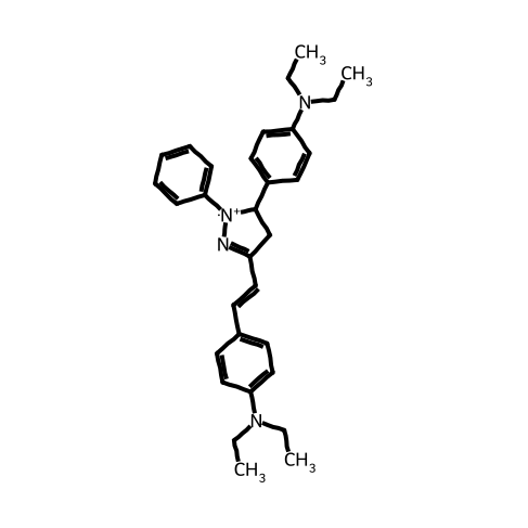 CCN(CC)c1ccc(C=CC2=N[N+](c3ccccc3)C(c3ccc(N(CC)CC)cc3)C2)cc1